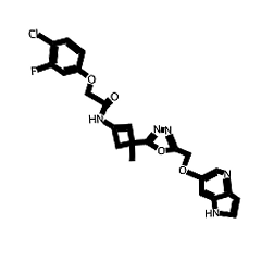 CC1(c2nnc(COc3cnc4cc[nH]c4c3)o2)C=C(NC(=O)COc2ccc(Cl)c(F)c2)C1